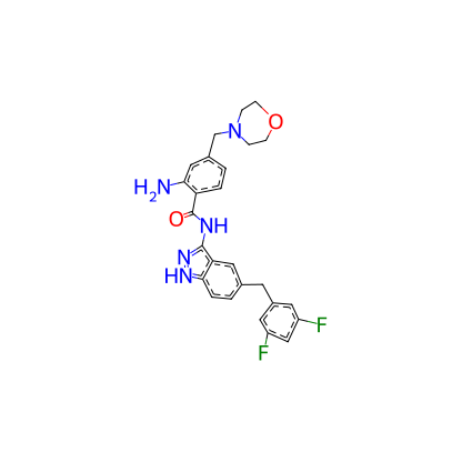 Nc1cc(CN2CCOCC2)ccc1C(=O)Nc1n[nH]c2ccc(Cc3cc(F)cc(F)c3)cc12